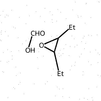 CCC1OC1CC.O=CO